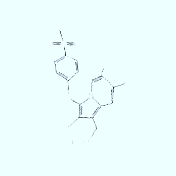 Cc1c(CC(=O)O)c2cc(Cl)c(F)cn2c1Sc1ccc(S(C)(=O)=O)cc1